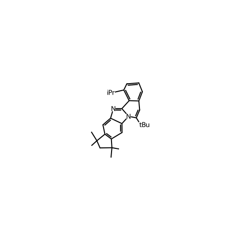 CC(C)c1cccc2cc(C(C)(C)C)n3c4cc5c(cc4nc3c12)C(C)(C)CC5(C)C